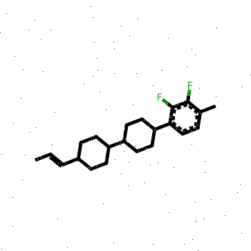 CC=CC1CCC(C2CCC(c3ccc(C)c(F)c3F)CC2)CC1